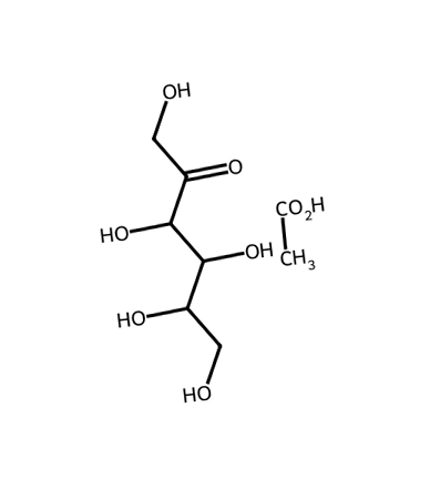 CC(=O)O.O=C(CO)C(O)C(O)C(O)CO